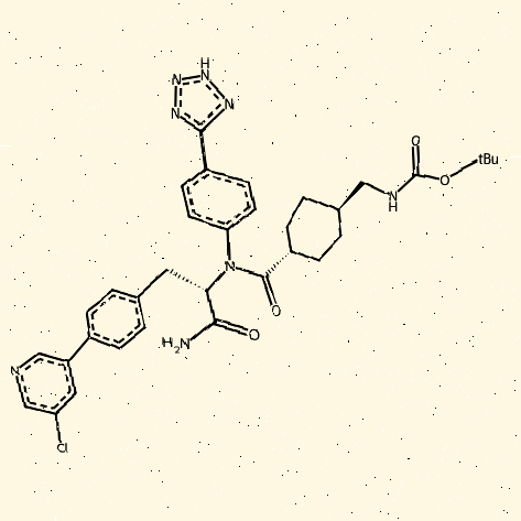 CC(C)(C)OC(=O)NC[C@H]1CC[C@H](C(=O)N(c2ccc(-c3nn[nH]n3)cc2)[C@@H](Cc2ccc(-c3cncc(Cl)c3)cc2)C(N)=O)CC1